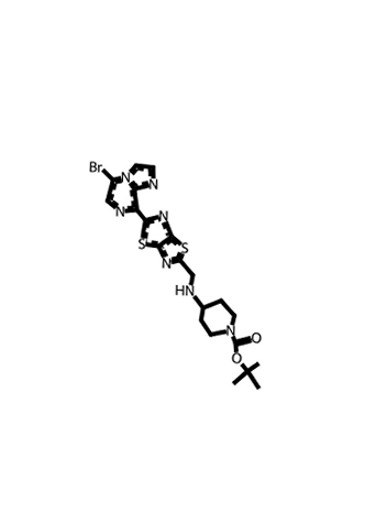 CC(C)(C)OC(=O)N1CCC(NCc2nc3sc(-c4ncc(Br)n5ccnc45)nc3s2)CC1